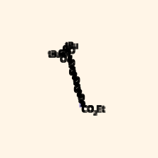 CCOC(=O)/C=C/COCCOCCOCCOCCOCCN(C(=O)OC(C)(C)C)C(=O)OC(C)(C)C